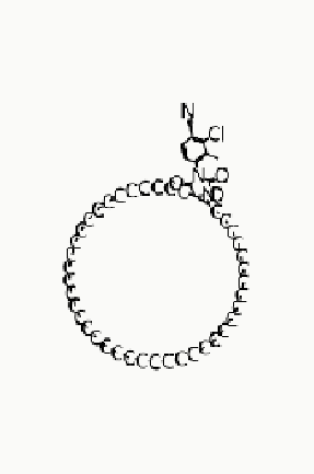 Cc1c(N2C(=O)N(C)C3(CCCCCCCCCCCCCCCCCCCCCCCCCCCCCCCCCCCCCCCCC3=O)C2=O)ccc(C#N)c1Cl